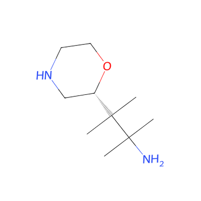 CC(C)(N)C(C)(C)[C@@H]1CNCCO1